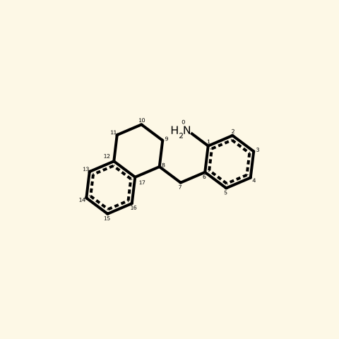 Nc1ccccc1CC1CCCc2ccccc21